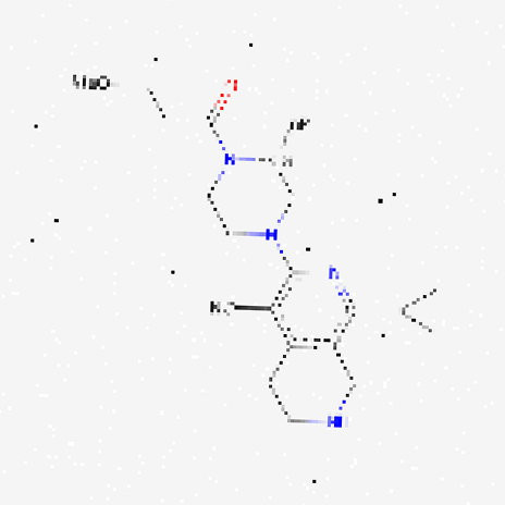 CCC[C@@H]1CN(c2nc(C3CC3)c3c(c2C#N)CCNC3)CCN1C(=O)CCOC